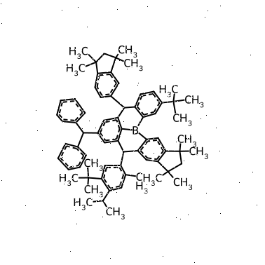 Cc1cc(C(C)C)c(C(C)(C)C)cc1C1c2cc3c(cc2B2c4cc(C(C)(C)C)ccc4C(c4ccc5c(c4)C(C)(C)CC5(C)C)c4cc(C(c5ccccc5)c5ccccc5)cc1c42)C(C)(C)CC3(C)C